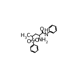 CC(CC(N)C(=O)Nc1ccccc1)S(=O)(=O)c1ccccc1